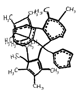 CC1=C(C)C(C)(C)C(c2c(C(C3=C(C)C(C)=C(C)C3(C)C)(c3ccccc3)c3ccccc3)ccc(C)c2C)=C1C